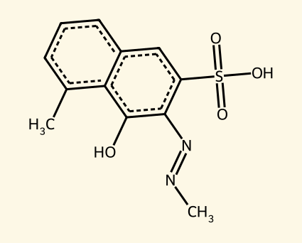 CN=Nc1c(S(=O)(=O)O)cc2cccc(C)c2c1O